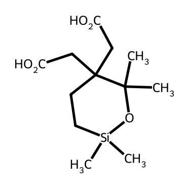 CC1(C)O[Si](C)(C)CCC1(CC(=O)O)CC(=O)O